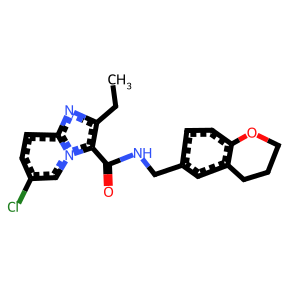 CCc1nc2ccc(Cl)cn2c1C(=O)NCc1ccc2c(c1)CCCO2